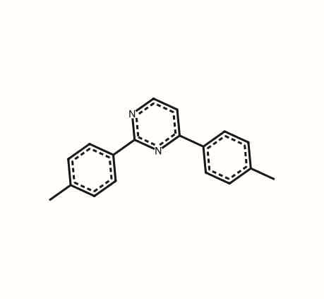 Cc1ccc(-c2ccnc(-c3ccc(C)cc3)n2)cc1